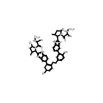 CCCc1ccc(CCC2=C(c3ccc4[nH]c(C5C(C)CC(CC)N5C(=O)C(NC(=O)O)C(C)C)nc4c3)CC(CC)C=C2)cc1-c1ccc2[nH]c(C3C(C)CC(CC)N3C(=O)C(NC(=O)O)C(C)C)nc2c1